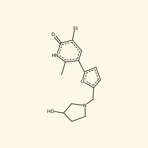 CCc1cc(-c2ccc(CN3CCC(O)C3)o2)c(C)[nH]c1=O